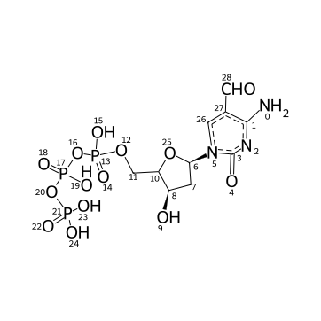 Nc1nc(=O)n([C@H]2C[C@@H](O)C(COP(=O)(O)OP(=O)(O)OP(=O)(O)O)O2)cc1C=O